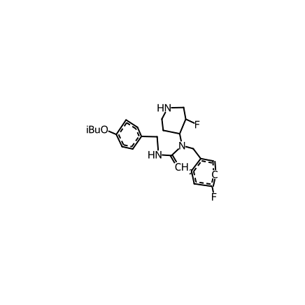 C=C(NCc1ccc(OCC(C)C)cc1)N(Cc1ccc(F)cc1)C1CCNCC1F